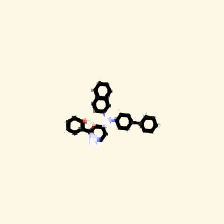 c1ccc(-c2ccc(N(c3ccc4ccccc4c3)c3ccnc4c3oc3ccccc34)cc2)cc1